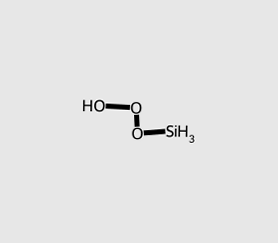 OOO[SiH3]